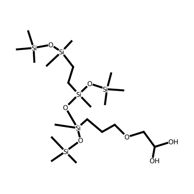 C[Si](C)(C)O[Si](C)(C)CC[Si](C)(O[Si](C)(C)C)O[Si](C)(CCCOCC(O)O)O[Si](C)(C)C